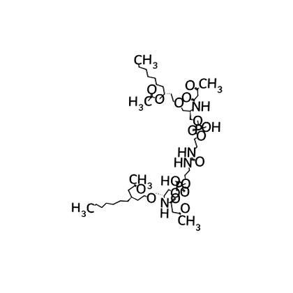 CCCCCCC[C@H](CCOC[C@H](COP(=O)(O)OCCNC(=O)NCCOP(=O)(O)OC[C@@H](COCC[C@@H](CCCCCCC)OC(C)=O)NC(=O)CC(C)=O)NC(=O)CC(C)=O)CC(C)=O